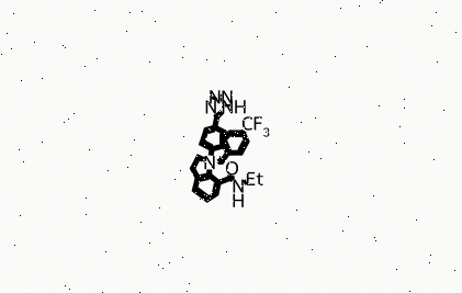 CCNC(=O)c1cccc2c1[N+](Cc1ccc(C(F)(F)F)cc1)(c1ccc(-c3nnn[nH]3)cc1)CC2